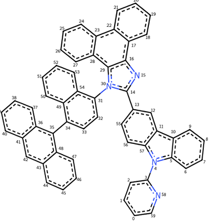 c1ccc(-n2c3ccccc3c3cc(-c4nc5c6ccccc6c6ccccc6c5n4-c4ccc(-c5c6ccccc6cc6ccccc56)c5ccccc45)ccc32)nc1